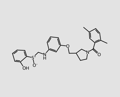 Cc1ccc(C)c(C(=O)N2CCC(COc3cccc(NC[S+]([O-])c4ccccc4O)c3)C2)c1